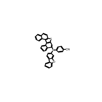 N#Cc1ccc(N(c2ccc3c(c2)oc2ccccc23)c2cc3sc4ccc5ccccc5c4c3c3ccccc23)cc1